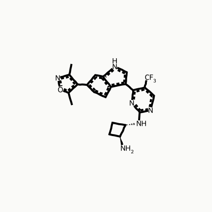 Cc1noc(C)c1-c1ccc2c(-c3nc(N[C@H]4CC[C@@H]4N)ncc3C(F)(F)F)c[nH]c2c1